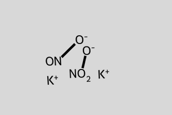 O=N[O-].O=[N+]([O-])[O-].[K+].[K+]